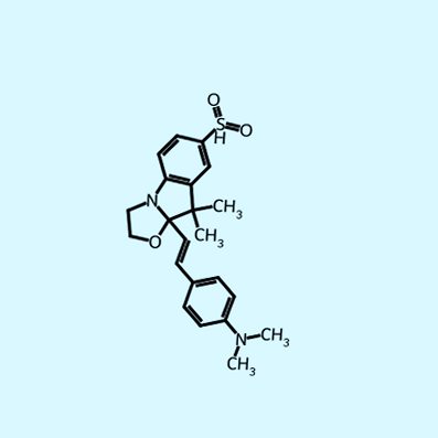 CN(C)c1ccc(C=CC23OCCN2c2ccc([SH](=O)=O)cc2C3(C)C)cc1